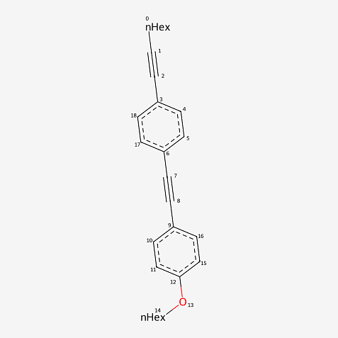 CCCCCCC#Cc1ccc(C#Cc2ccc(OCCCCCC)cc2)cc1